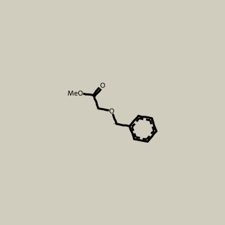 COC(=O)CO[CH]c1ccccc1